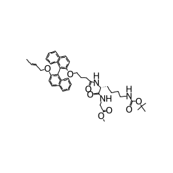 C/C=C/COc1ccc2ccccc2c1-c1c(OCCCC(=O)N[C@H](CCCCNC(=O)OC(C)(C)C)C(=O)NCC(=O)OC)ccc2ccccc12